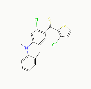 Cc1ccccc1N(C)c1ccc(C(=S)c2sccc2Cl)c(Cl)c1